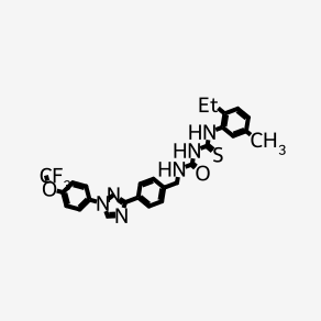 CCc1ccc(C)cc1NC(=S)NC(=O)NCc1ccc(-c2ncn(-c3ccc(OC(F)(F)F)cc3)n2)cc1